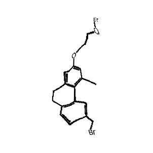 CCOCCOc1cc(C)c2c(c1)CCc1ccc(CBr)cc1-2